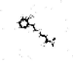 CN(C)C(=O)CCSCCc1ccccc1C#N